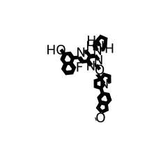 COC1Cc2ccc(C3CCC4(COc5nc(N6C[C@H]7CC[C@@H](C6)N7)c6cnc(-c7cc(O)cc8ccccc78)c(F)c6n5)CCCN34)cc2C1